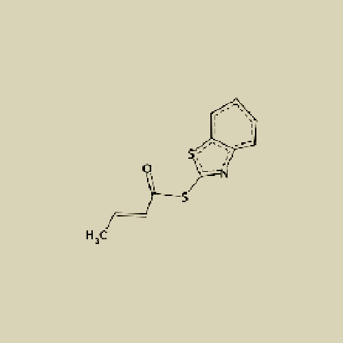 C/C=C/C(=O)Sc1nc2ccccc2s1